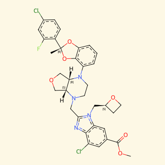 COC(=O)c1cc(Cl)c2nc(CN3CCN(c4cccc5c4O[C@](C)(c4ccc(Cl)cc4F)O5)[C@H]4COC[C@H]43)n(C[C@@H]3CCO3)c2c1